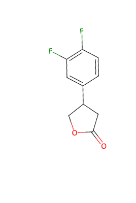 O=C1CC(c2ccc(F)c(F)c2)CO1